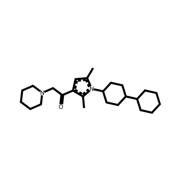 Cc1cc(C(=O)CN2CCCCC2)c(C)n1C1CCC(C2CCCCC2)CC1